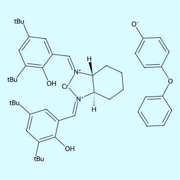 CC(C)(C)c1cc(C=[N+]2[Cr][N+](=Cc3cc(C(C)(C)C)cc(C(C)(C)C)c3O)[C@@H]3CCCC[C@H]32)c(O)c(C(C)(C)C)c1.[O-]c1ccc(Oc2ccccc2)cc1